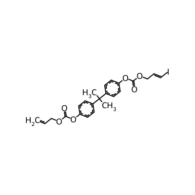 C=CCOC(=O)Oc1ccc(C(C)(C)c2ccc(OC(=O)OCC=CI)cc2)cc1